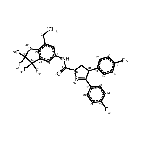 CCc1cc(NC(=O)N2CC(c3ccc(F)cc3)C(c3ccc(F)cc3)=N2)cc2c1OC(F)(F)C2(F)F